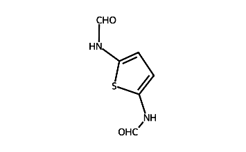 O=CNc1ccc(NC=O)s1